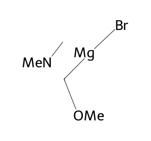 CNC.CO[CH2][Mg][Br]